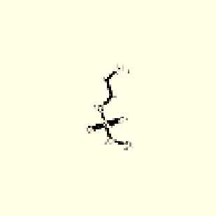 CCOS(=O)(=O)OCCN